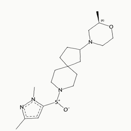 Cc1cc([S+]([O-])N2CCC3(CCC(N4CCO[C@H](C)C4)C3)CC2)n(C)n1